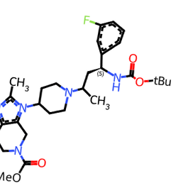 COC(=O)N1CCc2nc(C)n(C3CCN(C(C)C[C@H](NC(=O)OC(C)(C)C)c4cccc(F)c4)CC3)c2C1